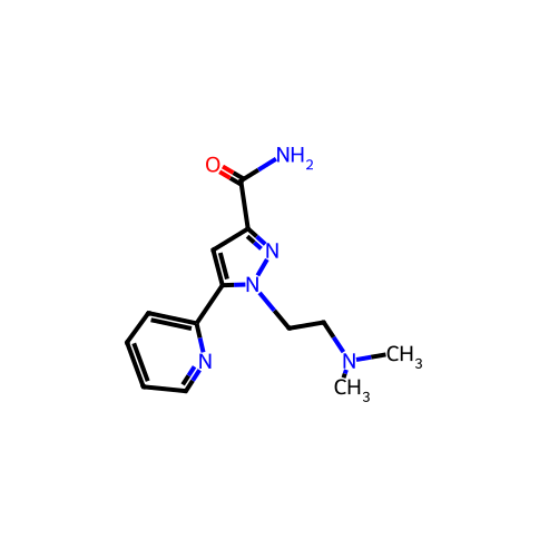 CN(C)CCn1nc(C(N)=O)cc1-c1ccccn1